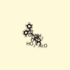 CC(=O)OCC1=C(C(=O)O)N2C(=O)[C@@](N)(OCC(=O)OC(c3ccccc3)c3ccccc3)[C@H]2SC1